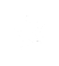 CC(=O)[C@H]1CC[C@H]2[C@@H]3CCC4=CC(=O)C=C[C@]4(C)C3=CC[C@]12C.O=C(O)C=CC(=O)O